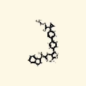 CCOC(=O)C1(c2ccc(-c3ccc(-c4onc(C)c4CC(=O)N(O)C4CCc5ccccc54)cc3)cc2)CC1